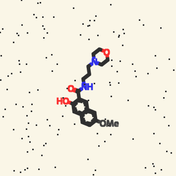 COc1ccc2cc(O)c(C(=O)NCCCN3CCOCC3)cc2c1